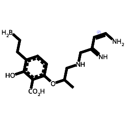 BCCc1ccc(OC(C)CNCC(=N)/C=C\N)c(C(=O)O)c1O